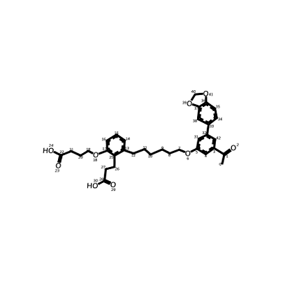 CC(=O)c1cc(OCCCCCCc2cccc(OCCCC(=O)O)c2CCC(=O)O)cc(-c2ccc3c(c2)OCO3)c1